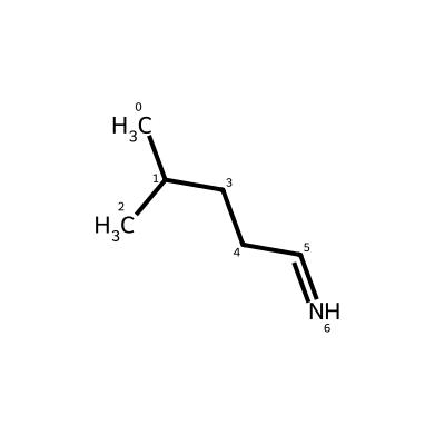 CC(C)CCC=N